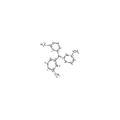 Cc1cccc(P(c2cccc(C)c2)c2cccc(C)n2)c1